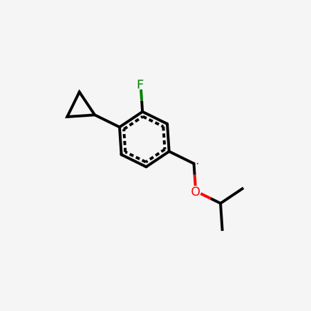 CC(C)O[CH]c1ccc(C2CC2)c(F)c1